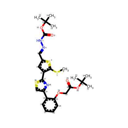 CSc1sc(C=NNC(=O)OC(C)(C)C)cc1-c1nc(-c2ccccc2OCC(=O)OC(C)(C)C)cs1